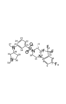 C[C@@H]1CN(c2ccc(F)cc2C(F)(F)F)CCN1S(=O)(=O)c1cccc(N(C)C2CCN(C)C2)c1